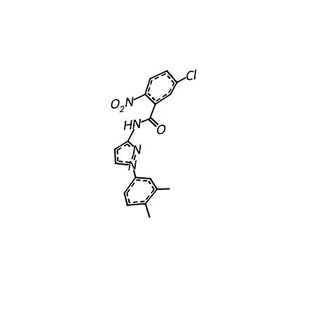 Cc1ccc(-n2ccc(NC(=O)c3cc(Cl)ccc3[N+](=O)[O-])n2)cc1C